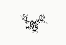 Cc1ccc(N(CCc2ccc(C(F)(F)F)cc2)C(=O)C(C)(O)c2cccnc2)cc1C